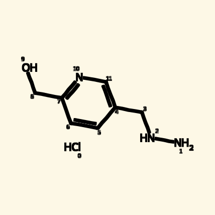 Cl.NNCc1ccc(CO)nc1